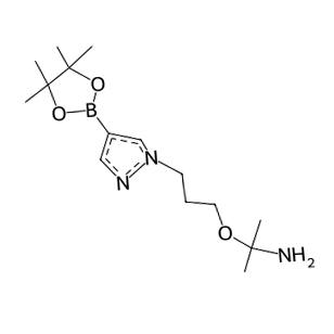 CC(C)(N)OCCCn1cc(B2OC(C)(C)C(C)(C)O2)cn1